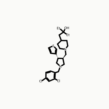 CCC(O)(CC)CC1CCN(C[C@H]2CN(Cc3ccc(Cl)cc3Cl)C[C@@H]2c2ccsc2)CC1